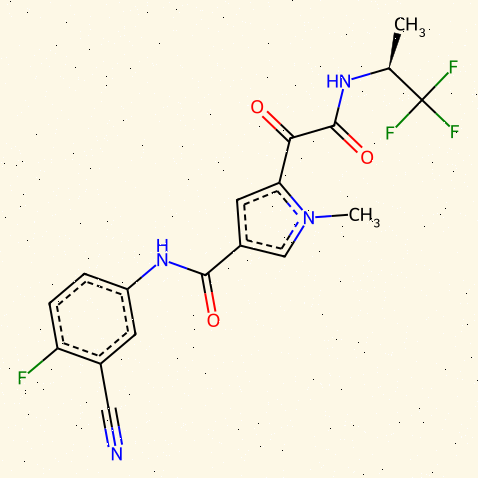 C[C@H](NC(=O)C(=O)c1cc(C(=O)Nc2ccc(F)c(C#N)c2)cn1C)C(F)(F)F